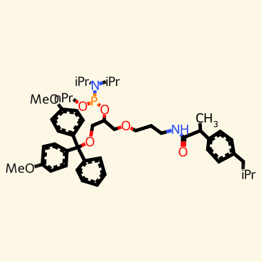 CCCOP(OC(COCCCNC(=O)C(C)c1ccc(CC(C)C)cc1)COC(c1ccccc1)(c1ccc(OC)cc1)c1ccc(OC)cc1)N(C(C)C)C(C)C